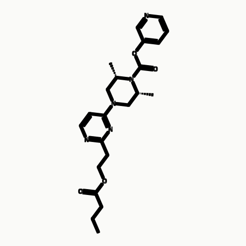 CCCC(=O)OCCc1nccc(N2C[C@@H](C)N(C(=O)Oc3cccnc3)[C@@H](C)C2)n1